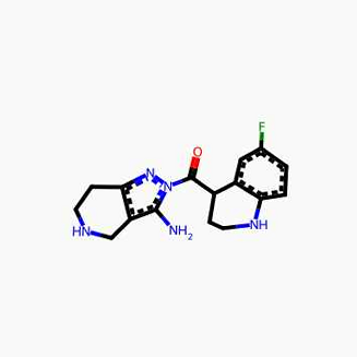 Nc1c2c(nn1C(=O)C1CCNc3ccc(F)cc31)CCNC2